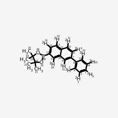 [2H]c1c([2H])c([2H])c(-c2c([2H])c([2H])c3c([2H])c([2H])c(B4OC(C)(C)C(C)(C)O4)c([2H])c3c2[2H])c([2H])c1[2H]